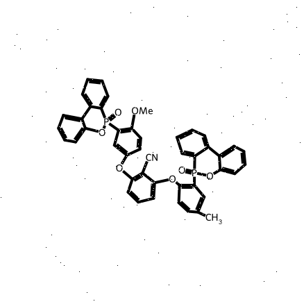 COc1ccc(Oc2cccc(Oc3ccc(C)cc3P3(=O)Oc4ccccc4-c4ccccc43)c2C#N)cc1P1(=O)Oc2ccccc2-c2ccccc21